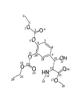 CCOC(=O)Oc1ccc(C(O)C(NC)C(=O)OC)cc1OC(=O)OCC